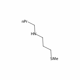 [CH2-][CH+]CCNCCCSC